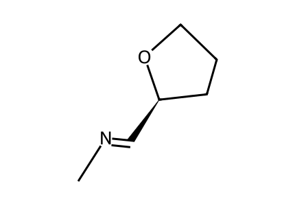 C/N=C/[C@@H]1CCCO1